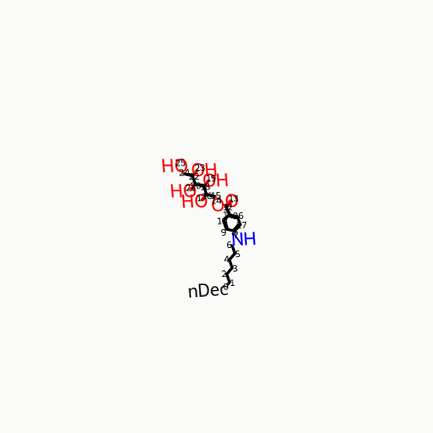 CCCCCCCCCCCCCCCCNc1ccc(C(=O)OCC(O)C(O)C(O)C(O)CO)cc1